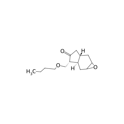 CCCCOC[C@@H]1C(=O)C[C@@H]2CC3OC3C[C@H]21